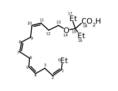 CC/C=C\C/C=C\C/C=C\C/C=C\CCOC(CC)(CC)C(=O)O